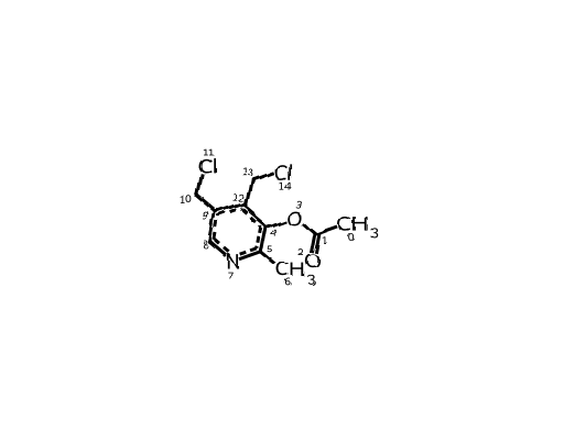 CC(=O)Oc1c(C)ncc(CCl)c1CCl